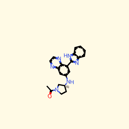 CC(=O)N1CC[C@H](Nc2cc(-c3nc4ccccc4[nH]3)c3nccnc3c2)C1